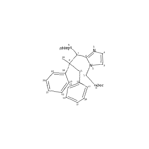 CCCCCCCCCCCn1ccnc1C(CCCCCCC)C(C)(Cc1ccccc1)c1ccccc1